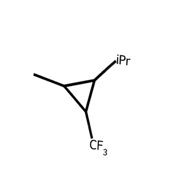 CC(C)C1C(C)C1C(F)(F)F